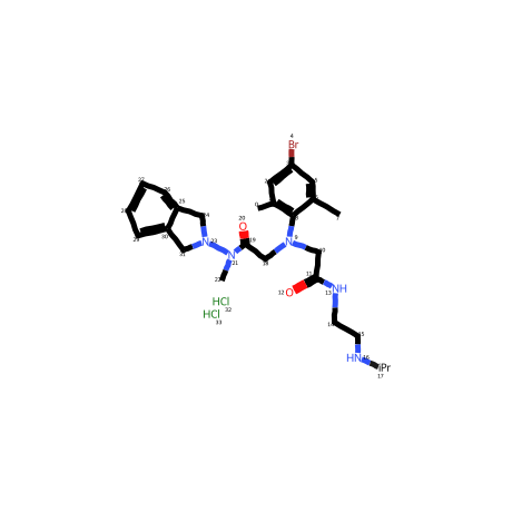 Cc1cc(Br)cc(C)c1N(CC(=O)NCCNC(C)C)CC(=O)N(C)N1Cc2ccccc2C1.Cl.Cl